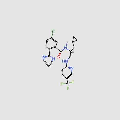 O=C(c1cc(Cl)ccc1-c1ncccn1)N1CC2(CC2)C[C@H]1CNc1ccc(C(F)(F)F)cn1